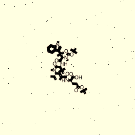 C/C(=C\[C@H](C(C)C)N(C)C(=O)[C@@H](NC(=O)[C@@H](N(C)C(=O)OC(C)(C)C)C(C)(C)c1cn(C)c2ccccc12)C(C)(C)C)C(=O)N[C@H](CCC(=O)OC(C)(C)C)C(=O)O